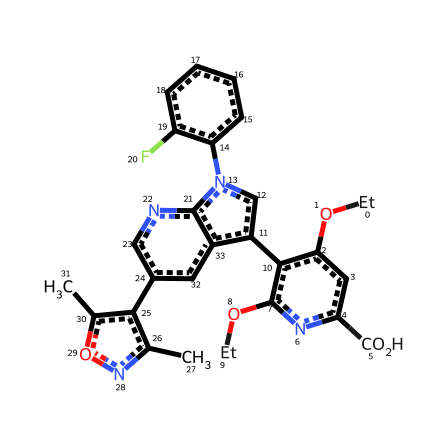 CCOc1cc(C(=O)O)nc(OCC)c1-c1cn(-c2ccccc2F)c2ncc(-c3c(C)noc3C)cc12